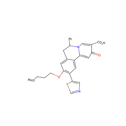 COCCCOc1cc2c(cc1-c1cncs1)-c1cc(=O)c(C(=O)O)cn1C(C(C)C)C2